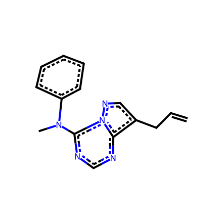 C=CCc1cnn2c(N(C)c3ccccc3)ncnc12